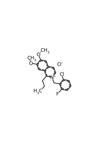 CCCc1c2cc(OC)c(OC)cc2cc[n+]1Cc1c(F)cccc1Cl.[Cl-]